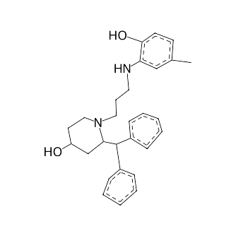 Cc1ccc(O)c(NCCCN2CCC(O)CC2C(c2ccccc2)c2ccccc2)c1